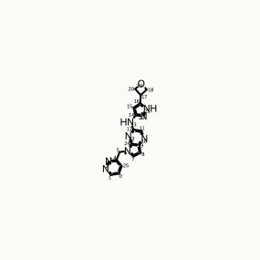 c1cnnc(Cn2ccc3ncc(Nc4cc(C5COC5)[nH]n4)nc32)c1